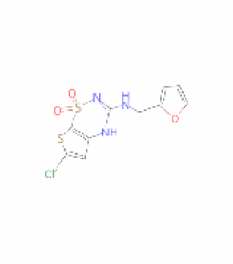 O=S1(=O)N=C(NCc2ccco2)Nc2cc(Cl)sc21